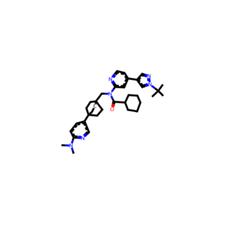 CN(C)c1ccc(C23CCC(CN(C(=O)C4CCCCC4)c4cc(-c5cnn(C(C)(C)C)c5)ccn4)(CC2)CC3)cn1